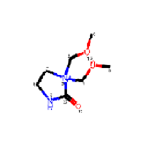 COC[N+]1(COC)CCNC1=O